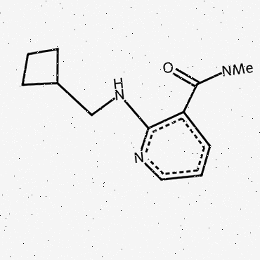 CNC(=O)c1cccnc1NCC1CCC1